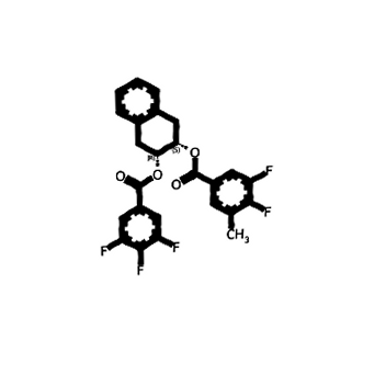 Cc1cc(C(=O)O[C@H]2Cc3ccccc3C[C@H]2OC(=O)c2cc(F)c(F)c(F)c2)cc(F)c1F